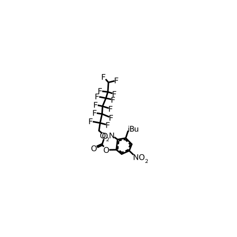 CCC(C)c1cc([N+](=O)[O-])cc(OC(=O)OCC(F)(F)C(F)(F)C(F)(F)C(F)(F)C(F)(F)C(F)F)c1[N+](=O)[O-]